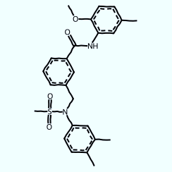 COc1ccc(C)cc1NC(=O)c1cccc(CN(c2ccc(C)c(C)c2)S(C)(=O)=O)c1